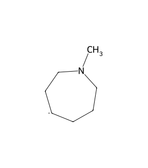 CN1CC[CH]CCC1